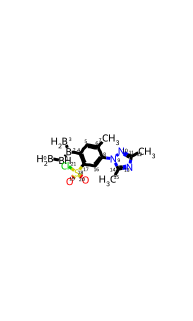 BBB(B)c1cc(C)c(-n2nc(C)nc2C)cc1S(=O)(=O)Cl